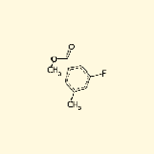 COC=O.Cc1cccc(F)c1